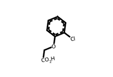 O=C(O)COc1cc[c]cc1Cl